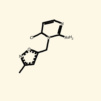 Cc1cc(CN2C([AsH2])=NC=CC2Cl)on1